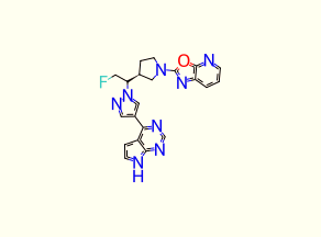 FCC([C@H]1CCN(c2nc3cccnc3o2)C1)n1cc(-c2ncnc3[nH]ccc23)cn1